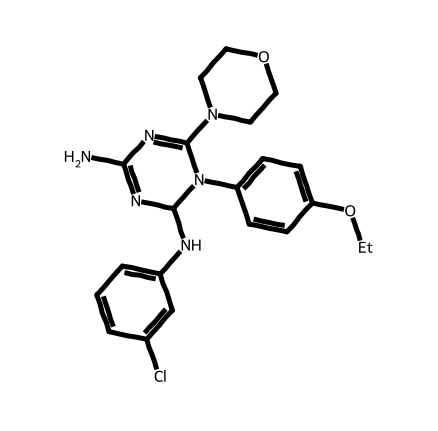 CCOc1ccc(N2C(N3CCOCC3)=NC(N)=NC2Nc2cccc(Cl)c2)cc1